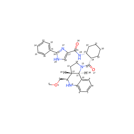 COC[C@@H]1Nc2ccccc2[C@H]2[C@H]1CCN2C(=O)[C@H]1CCCC[C@H]1NC(=O)c1c[nH]c(-c2ccccc2)n1